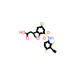 C#Cc1c(F)ccc(NS(=O)(=O)c2cc(Cl)cc3c2OCC3CC(=O)O)c1F